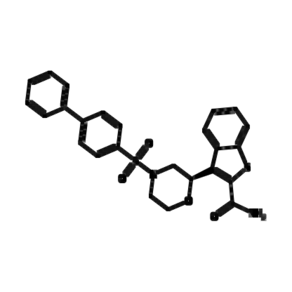 NC(=O)c1sc2ccccc2c1[C@@H]1CN(S(=O)(=O)c2ccc(-c3ccccc3)cc2)CCO1